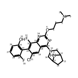 CN(C)CCCOc1nc(N2CC3CCC(C2)N3)c2cc(Cl)c(-c3c(O)cccc3F)c(F)c2n1